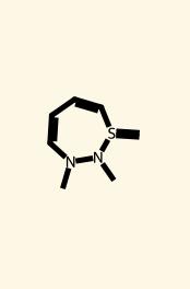 C=S1C=CC=CN(C)N1C